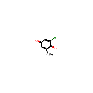 COC1=CC(=O)C=C(Br)C1=O